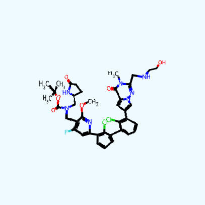 COc1nc(-c2cccc(-c3cccc(-c4cc5c(=O)n(C)c(CNCCO)nn5c4)c3Cl)c2Cl)cc(F)c1CN(C[C@@H]1CCC(=O)N1)C(=O)OC(C)(C)C